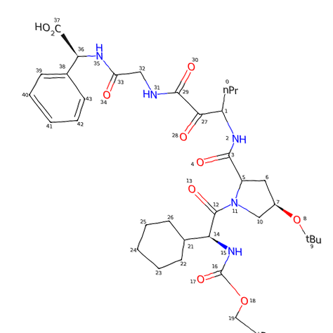 CCCC(NC(=O)C1C[C@@H](OC(C)(C)C)CN1C(=O)[C@@H](NC(=O)OCC(C)(C)C)C1CCCCC1)C(=O)C(=O)NCC(=O)N[C@H](C(=O)O)c1ccccc1